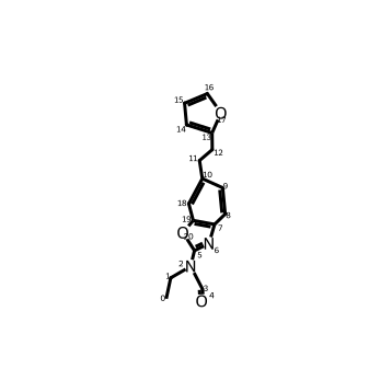 CCN(C=O)c1nc2ccc(CCc3ccco3)cc2o1